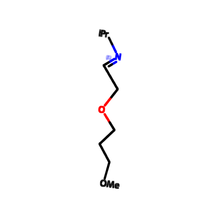 COCCCOC/C=N/C(C)C